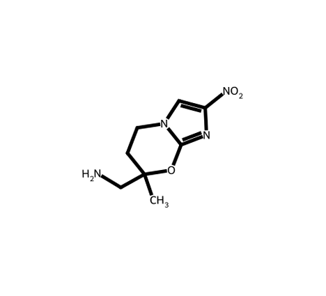 CC1(CN)CCn2cc([N+](=O)[O-])nc2O1